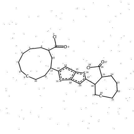 O=C(Cl)C1CCCCCCCCC(c2cc3sc(C4CCCCCCC4C(=O)Cl)cc3s2)C1